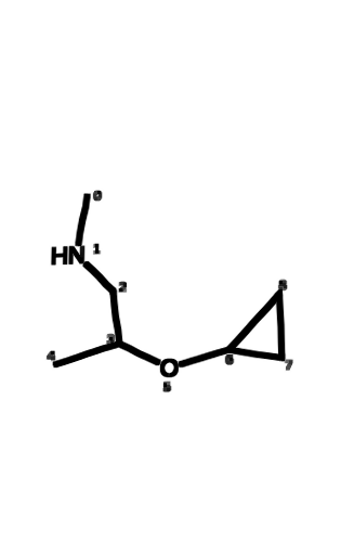 CNCC(C)OC1CC1